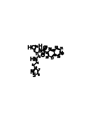 CC(CNCCc1ccsn1)NS(=O)(=O)c1ccc2cnccc2c1.Cl